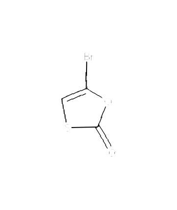 O=c1oc(Br)cs1